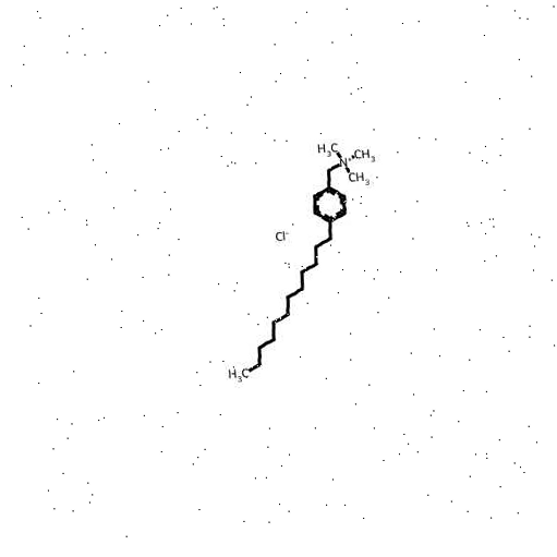 CCCCCCCCCCCCc1ccc(C[N+](C)(C)C)cc1.[Cl-]